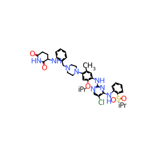 Cc1cc(Nc2ncc(Cl)c(Nc3ccccc3S(=O)(=O)C(C)C)n2)c(OC(C)C)cc1N1CCN(Cc2ccccc2NC2CCC(=O)NC2=O)CC1